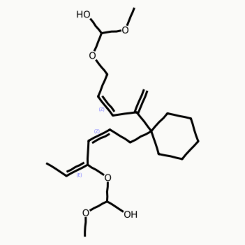 C=C(/C=C\COC(O)OC)C1(C/C=C\C(=C/C)OC(O)OC)CCCCC1